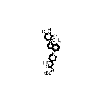 CC(C)(C)OC(=O)CC1(O)CCN(c2cccc3c2CCN3[C@@]2(C)CCC(=O)NC2=O)CC1